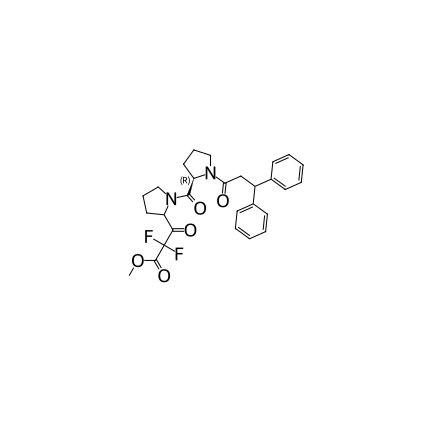 COC(=O)C(F)(F)C(=O)C1CCCN1C(=O)[C@H]1CCCN1C(=O)CC(c1ccccc1)c1ccccc1